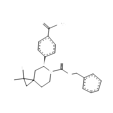 COC(=O)c1ccc([C@@H]2CC3(CCN2C(=O)OCc2ccccc2)CC3(F)F)cc1